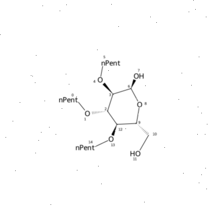 CCCCCO[C@@H]1[C@@H](OCCCCC)[C@@H](O)O[C@H](CO)[C@H]1OCCCCC